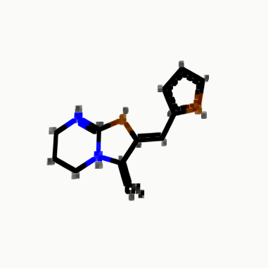 C=C1/C(=C/c2cccs2)SC2=NCCCN12